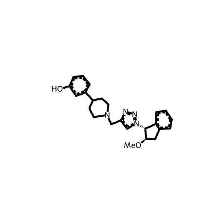 CO[C@@H]1Cc2ccccc2[C@H]1n1cc(CN2CCC(c3cccc(O)c3)CC2)nn1